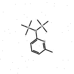 Cc1cccc(N([Si](C)(C)C)[Si](C)(C)C)n1